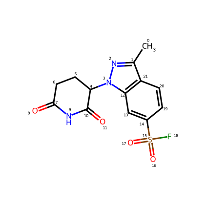 Cc1nn(C2CCC(=O)NC2=O)c2cc(S(=O)(=O)F)ccc12